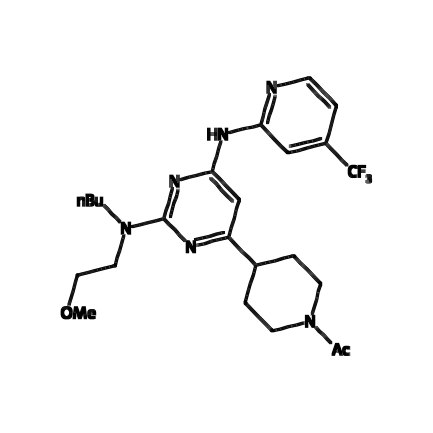 CCCCN(CCOC)c1nc(Nc2cc(C(F)(F)F)ccn2)cc(C2CCN(C(C)=O)CC2)n1